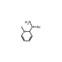 CC(=O)N(N)C1C=CC=CN1C